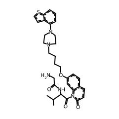 CC(C)C(NC(=O)CN)C(=O)n1c(=O)ccc2ccc(OCCCCN3CCN(c4cccc5sccc45)CC3)cc21